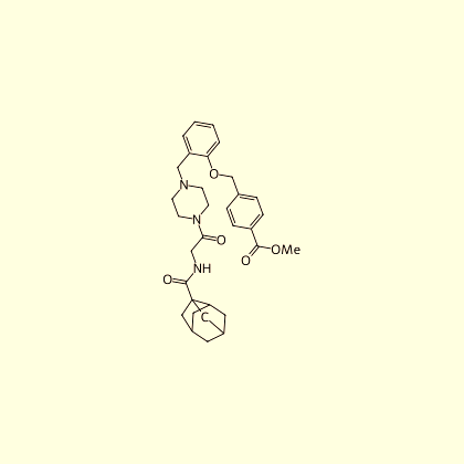 COC(=O)c1ccc(COc2ccccc2CN2CCN(C(=O)CNC(=O)C34CC5CC(CC3C5)C4)CC2)cc1